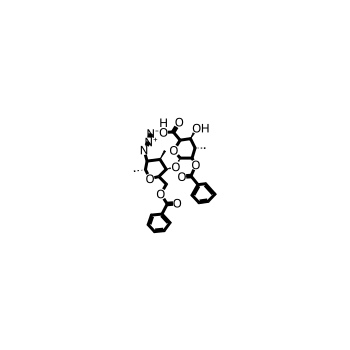 C[C@@H]1C(OC(=O)c2ccccc2)[C@H](O[C@@H]2C(COC(=O)c3ccccc3)O[C@H](C)C(N=[N+]=[N-])[C@H]2C)OC(C(=O)O)[C@H]1O